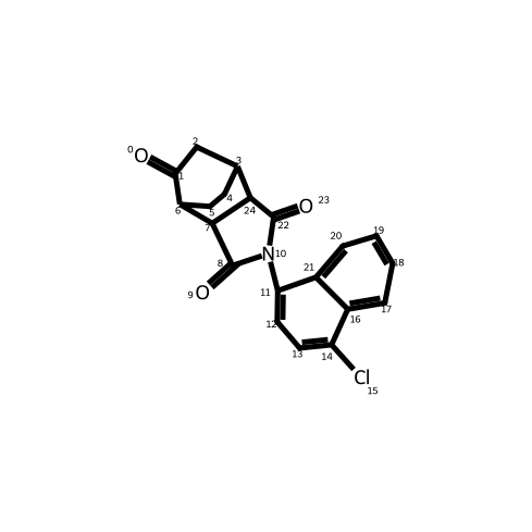 O=C1CC2CCC1C1C(=O)N(c3ccc(Cl)c4ccccc34)C(=O)C21